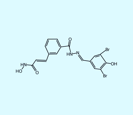 O=C(/C=C/c1cccc(C(=O)N/N=C/c2cc(Br)c(O)c(Br)c2)c1)NO